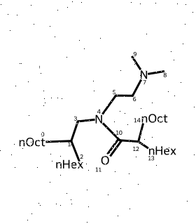 CCCCCCCCC(CCCCCC)CN(CCN(C)C)C(=O)C(CCCCCC)CCCCCCCC